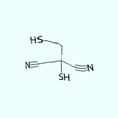 N#CC(S)(C#N)CS